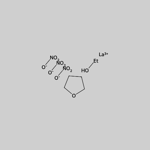 C1CCOC1.CCO.O=[N+]([O-])[O-].O=[N+]([O-])[O-].O=[N+]([O-])[O-].[La+3]